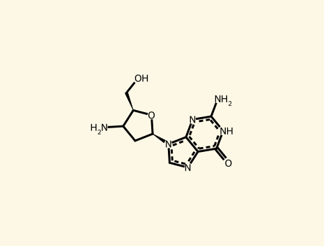 Nc1nc2c(ncn2[C@H]2CC(N)[C@@H](CO)O2)c(=O)[nH]1